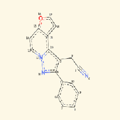 N#CCc1c(-c2ccccc2)nn2ccc3occc3c12